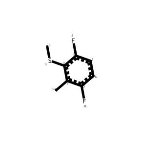 CSc1c(F)ccc(F)c1C